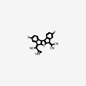 N#CC(C#N)=C1c2cc(F)ccc2-c2c1sc1c2-c2ccc(F)cc2/C1=C(\C#N)C1CN1